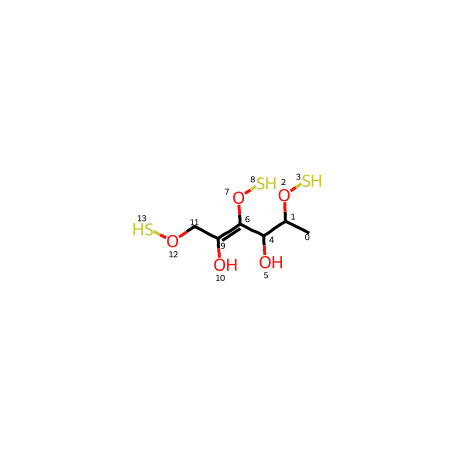 CC(OS)C(O)/C(OS)=C(\O)COS